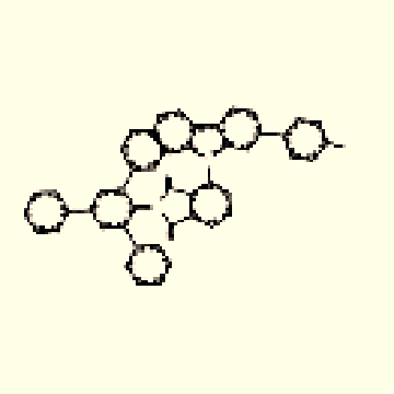 Cc1ccc(-c2ccc3c4ccccc4n(-c4cccc5c4C(=O)N(c4c(-c6ccccc6)cc(-c6ccccc6)cc4-c4ccccc4)C5=O)c3c2)cc1